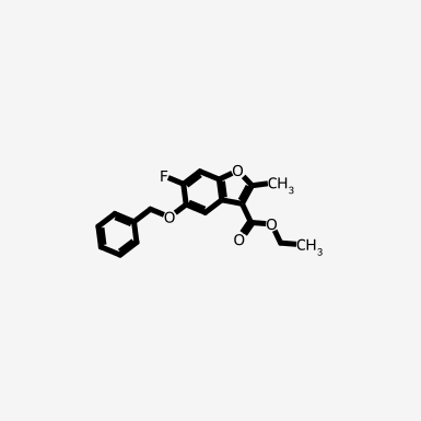 CCOC(=O)c1c(C)oc2cc(F)c(OCc3ccccc3)cc12